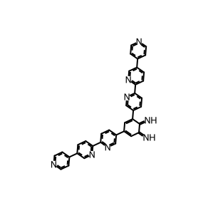 N=C1C=C(c2ccc(-c3ccc(-c4ccncc4)cn3)nc2)C=C(c2ccc(-c3ccc(-c4ccncc4)cn3)nc2)C1=N